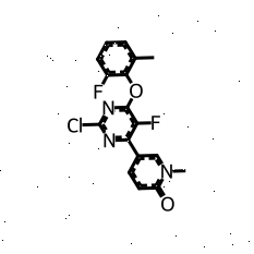 Cc1cccc(F)c1Oc1nc(Cl)nc(-c2ccc(=O)n(C)c2)c1F